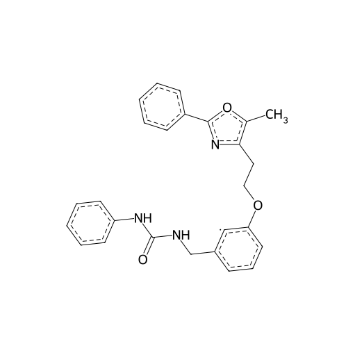 Cc1oc(-c2ccccc2)nc1CCOc1[c]c(CNC(=O)Nc2ccccc2)ccc1